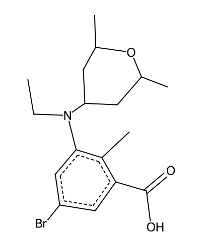 CCN(c1cc(Br)cc(C(=O)O)c1C)C1CC(C)OC(C)C1